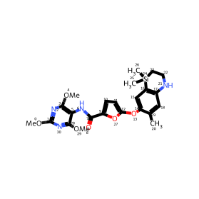 COc1nc(OC)c(NC(=O)c2ccc(Oc3cc4c(cc3C)NCC[Si]4(C)C)o2)c(OC)n1